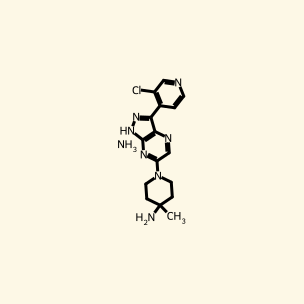 CC1(N)CCN(c2cnc3c(-c4ccncc4Cl)n[nH]c3n2)CC1.N